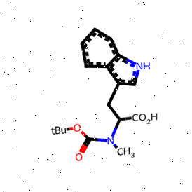 CN(C(=O)OC(C)(C)C)C(Cc1c[nH]c2ccccc12)C(=O)O